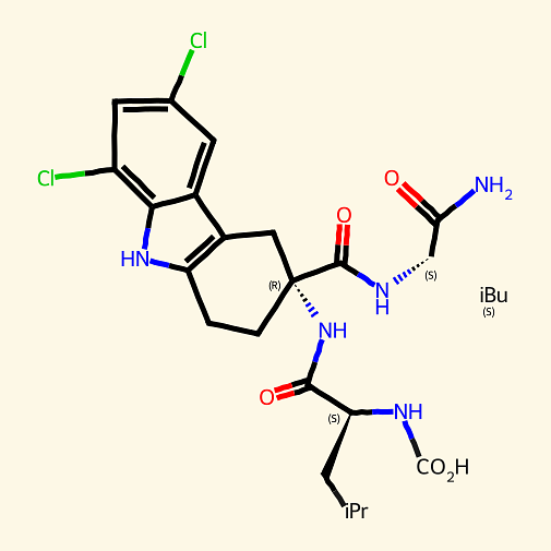 CC[C@H](C)[C@H](NC(=O)[C@@]1(NC(=O)[C@H](CC(C)C)NC(=O)O)CCc2[nH]c3c(Cl)cc(Cl)cc3c2C1)C(N)=O